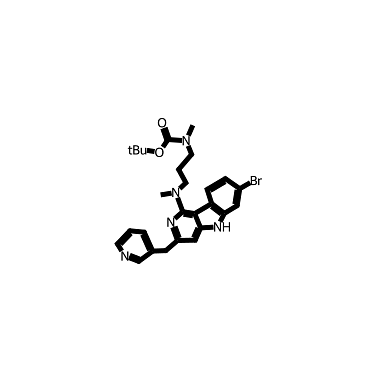 CN(CCCN(C)c1nc(Cc2cccnc2)cc2[nH]c3cc(Br)ccc3c12)C(=O)OC(C)(C)C